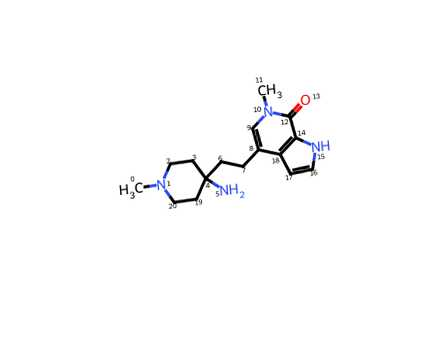 CN1CCC(N)(CCc2cn(C)c(=O)c3[nH]ccc23)CC1